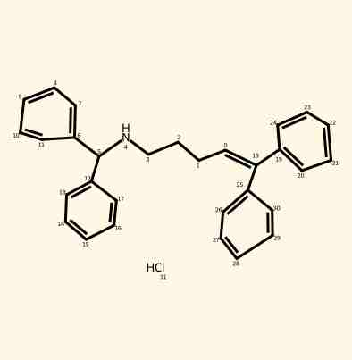 C(CCCNC(c1ccccc1)c1ccccc1)=C(c1ccccc1)c1ccccc1.Cl